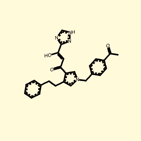 CC(=O)c1ccc(Cn2cc(CCc3ccccc3)c(C(=O)C=C(O)c3nc[nH]n3)c2)cc1